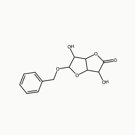 O=C1OC2C(O)C(OCc3ccccc3)OC2C1O